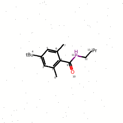 Cc1cc(C(C)(C)C)cc(C)c1C(=O)PCC(C)C